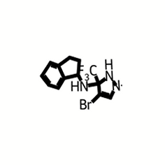 FC(F)(F)C1(NC2CCc3ccccc32)N[N]C=C1Br